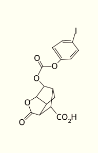 O=C(Oc1ccc(I)cc1)OC1C2CC3C1OC(=O)C3C2C(=O)O